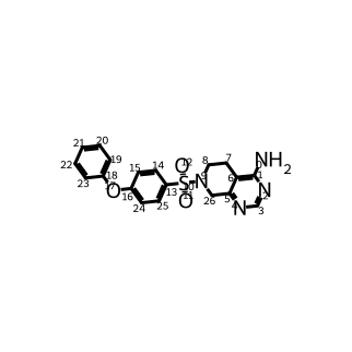 Nc1ncnc2c1CCN(S(=O)(=O)c1ccc(Oc3ccccc3)cc1)C2